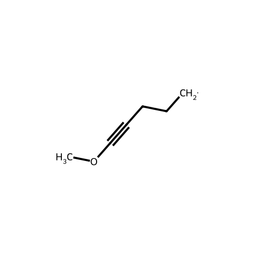 [CH2]CCC#COC